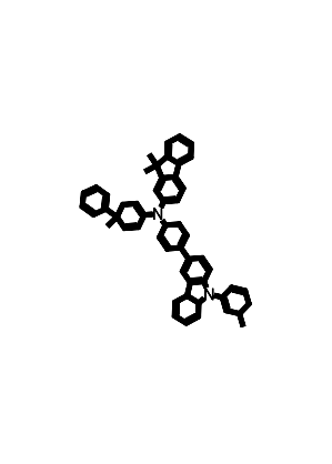 CC1C=C(N2c3ccc(C4=CCC(N(C5=CCC(C)(c6ccccc6)C=C5)c5ccc6c(c5)C(C)(C)c5ccccc5-6)C=C4)cc3C3C=CC=CC32)C=CC1